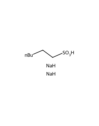 CCCCCCS(=O)(=O)O.[NaH].[NaH]